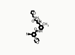 Cc1ccc(NC(=O)c2cc(C#N)cc(N3CCOCC3)c2)cc1-c1cc(C(=O)NCC2CCCO2)on1